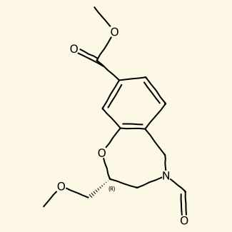 COC[C@H]1CN(C=O)Cc2ccc(C(=O)OC)cc2O1